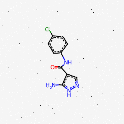 Nc1[nH]ncc1C(=O)Nc1ccc(Cl)cc1